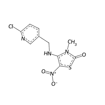 Cn1c(NCc2ccc(Cl)nc2)c([N+](=O)[O-])sc1=O